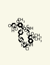 CNC(=O)COc1cc2cc(Nc3nc(N4CCN(CC5CCN(C(=O)c6ccc(OC)c(N7CCC(=O)NC7=O)c6)CC5)CC4)ncc3Cl)ccc2n(C(C)C)c1=O